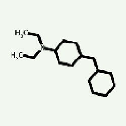 CCN(CC)C1CCC([C]C2CCCCC2)CC1